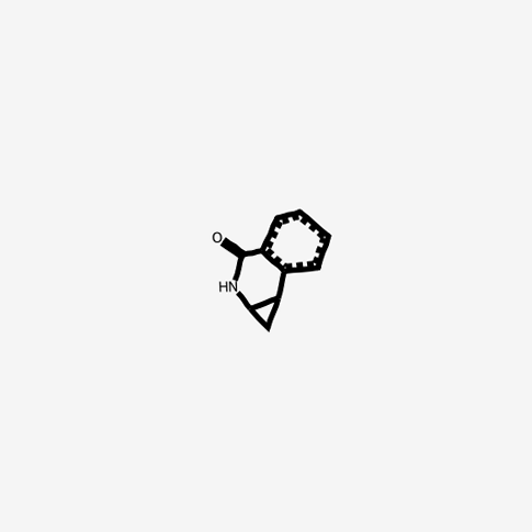 O=C1NC2CC2c2ccccc21